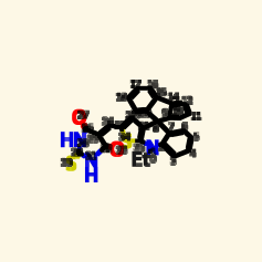 CCN1c2ccccc2C2(c3ccccc3-c3ccccc32)c2cc(C=C3C(=O)NC(=S)NC3=O)sc21